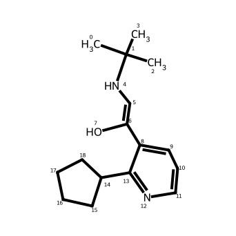 CC(C)(C)N/C=C(\O)c1cccnc1C1CCCC1